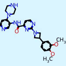 COc1ccc(C2CN(c3nccc(C(=O)Nc4cnccc4N4CCNCC4)n3)C2)cc1OC